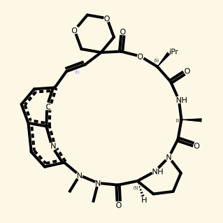 CC(C)[C@@H]1OC(=O)C2(/C=C/c3ccc4ccc(nc4c3)N(C)N(C)C(=O)[C@@H]3CCCN(N3)C(=O)[C@H](C)NC1=O)COCOC2